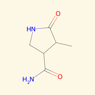 CC1C(=O)NCC1C(N)=O